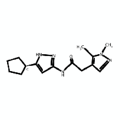 Cc1c(CC(=O)Nc2cc([C@H]3C[CH]CC3)[nH]n2)cnn1C